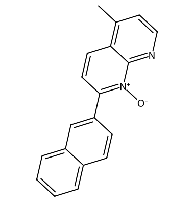 Cc1ccnc2c1ccc(-c1ccc3ccccc3c1)[n+]2[O-]